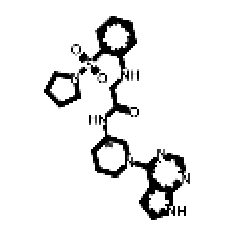 O=C(CNc1ccccc1S(=O)(=O)N1CCCC1)N[C@@H]1CCCN(c2ncnc3[nH]ccc23)C1